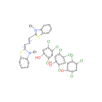 CCN1/C(=C\C=C\c2sc3ccccc3[n+]2CC)Sc2ccccc21.Oc1cc(Cl)c(Cl)cc1Cl.Oc1cc(Cl)c(Cl)cc1Cl.[O-]c1cc(Cl)c(Cl)cc1Cl